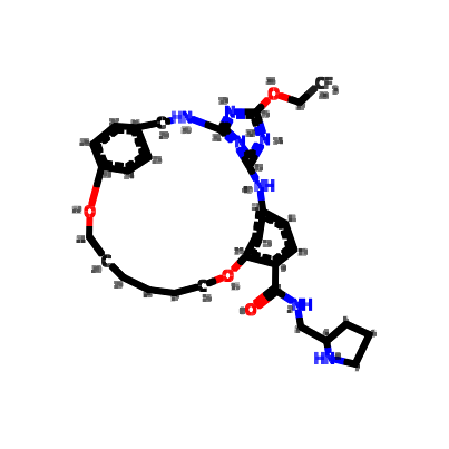 O=C(NCC1CCCN1)c1ccc2cc1OCCCCCCOc1ccc(cc1)CNc1nc(nc(OCC(F)(F)F)n1)N2